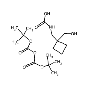 CC(C)(C)OC(=O)OC(=O)OC(C)(C)C.O=C(O)NCC1(CO)CCC1